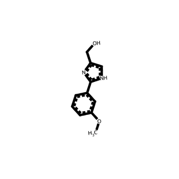 COc1cccc(-c2nc(CO)c[nH]2)c1